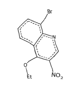 CCOc1c([N+](=O)[O-])cnc2c(Br)cccc12